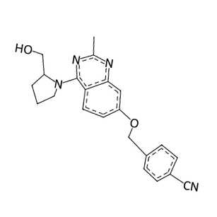 Cc1nc(N2CCCC2CO)c2ccc(OCc3ccc(C#N)cc3)cc2n1